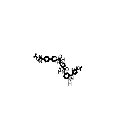 [2H]C([2H])(C(=O)N1CC=C(c2ccc(-c3ncn(C(C)C)n3)cc2)CC1)N1CC[C@@](OC)(C(=O)Nc2ccc3[nH]nc(-c4ccc(OC(C)C)nc4)c3c2)C1